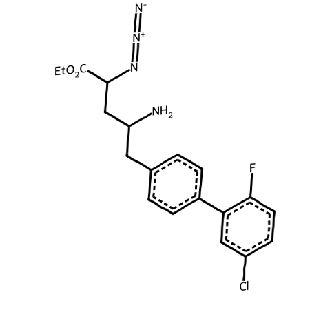 CCOC(=O)C(CC(N)Cc1ccc(-c2cc(Cl)ccc2F)cc1)N=[N+]=[N-]